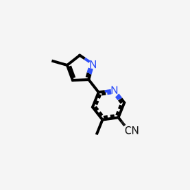 CC1=CC(c2cc(C)c(C#N)cn2)=NC1